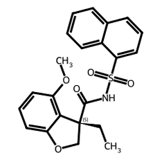 CC[C@@]1(C(=O)NS(=O)(=O)c2cccc3ccccc23)COc2cccc(OC)c21